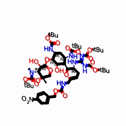 CN(C(=O)OC(C)(C)C)[C@@H]1[C@@H](O)[C@@H](O[C@@H]2[C@@H](O)[C@H](C3OC(CNC(=O)OCc4ccc([N+](=O)[O-])cc4)=CC[C@H]3N/C(=N/C(=O)OC(C)(C)C)NC(=O)OC(C)(C)C)[C@@H](NC(=O)OC(C)(C)C)C[C@H]2NC(=O)OC(C)(C)C)OC[C@]1(C)O